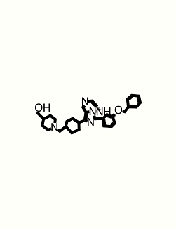 N[N+]12C=CN=CC1=C(C1CCC(CN3CCC(CO)CC3)CC1)N=C2c1cccc(OCc2ccccc2)c1